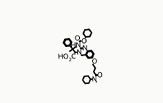 CN(C(=O)CCCOc1ccc2c(c1)CN(C(C(=O)O)C(C)(C)c1ccccc1)C(NC(=O)OC1CCCCC1)=N2)C1CCCCC1